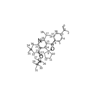 C=C(C)c1ccc([C@H]2OC3(CCCC3)c3c2c(C(C)C)nc2c3[C@@H](O[Si](C)(C)C(C)(C)C)CC(C)(C)C2)cc1